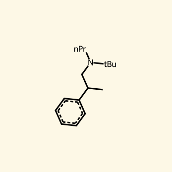 CCCN(CC(C)c1ccccc1)C(C)(C)C